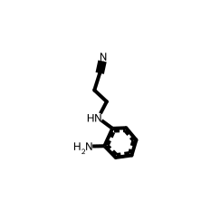 N#CCCNc1ccccc1N